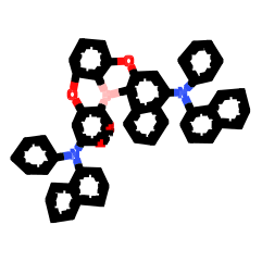 c1ccc(N(c2cccc3ccccc23)c2cc3c(c4ccccc24)B2c4c(cccc4Oc4cc(N(c5ccccc5)c5cccc6ccccc56)c5ccccc5c42)O3)cc1